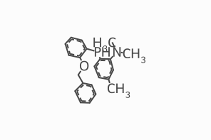 Cc1ccc(Pc2ccccc2OCc2ccccc2)c(N(C)C)c1